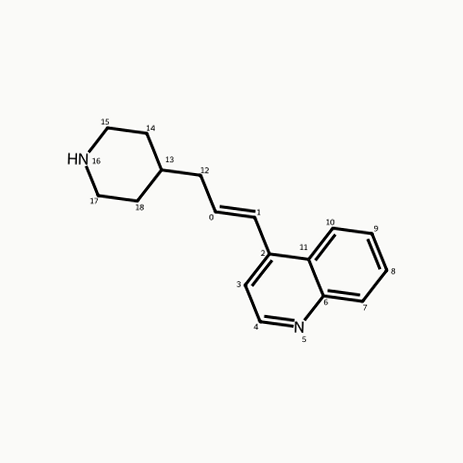 C(=Cc1ccnc2ccccc12)CC1CCNCC1